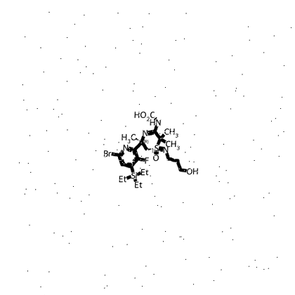 CC[Si](CC)(CC)c1cc(Br)nc([C@]2(C)C[S@@](=O)(=NCCCO)C(C)(C)C(NC(=O)O)=N2)c1F